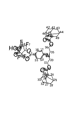 O=C(OC(C(F)(F)F)C(F)(F)S(=O)(=O)O)c1ccc(N(CCOC(=O)C23CC4CC(CC(C4)C2)C3)CCOC(=O)C23CC4CC(CC(C4)C2)C3)cc1